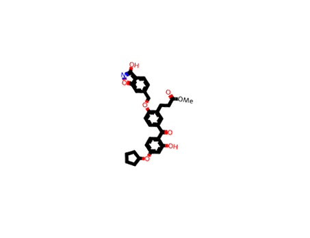 COC(=O)CCc1cc(C(=O)c2ccc(OC3CCCC3)cc2O)ccc1OCc1ccc2c(O)noc2c1